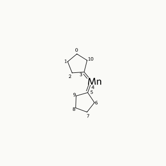 C1CC[C](=[Mn]=[C]2CCCC2)C1